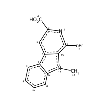 CCCc1nc(C(=O)O)cc2c3ccccc3n(C)c12